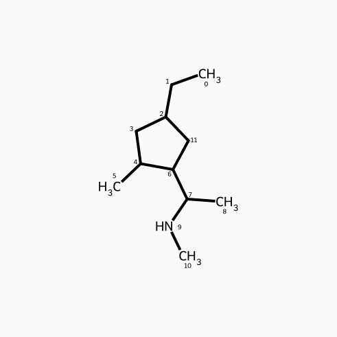 CCC1CC(C)C(C(C)NC)C1